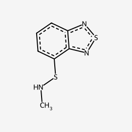 CNSc1cccc2nsnc12